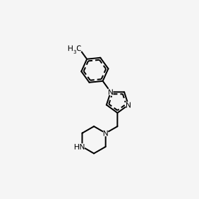 Cc1ccc(-n2cnc(CN3CCNCC3)c2)cc1